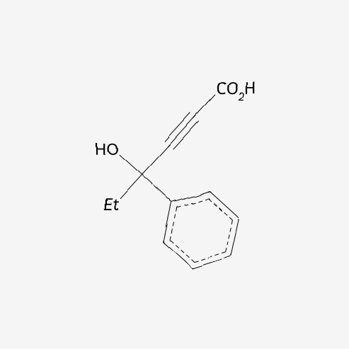 CCC(O)(C#CC(=O)O)c1ccccc1